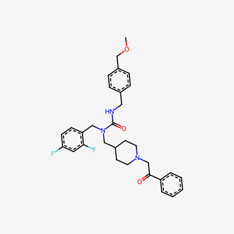 COCc1ccc(CNC(=O)N(Cc2ccc(F)cc2F)CC2CCN(CC(=O)c3ccccc3)CC2)cc1